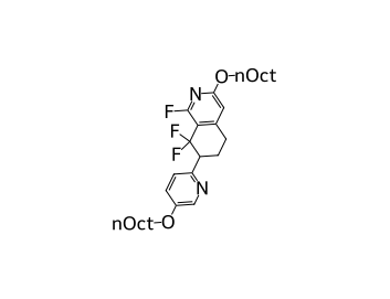 CCCCCCCCOc1ccc(C2CCc3cc(OCCCCCCCC)nc(F)c3C2(F)F)nc1